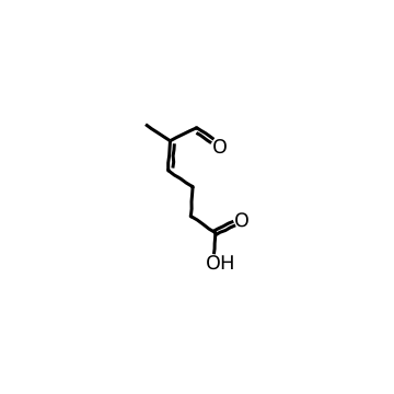 CC(C=O)=CCCC(=O)O